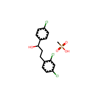 CS(=O)(=O)O.OC(CCc1ccc(Cl)cc1Cl)c1ccc(Cl)cc1